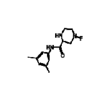 Cc1cc(C)cc(NC(=O)C2CN(F)CCN2)c1